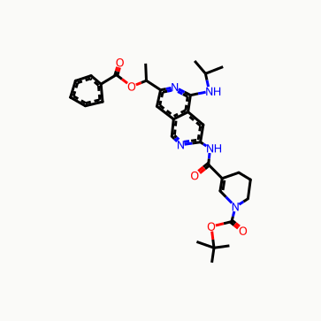 CC(C)Nc1nc(C(C)OC(=O)c2ccccc2)cc2cnc(NC(=O)C3=CN(C(=O)OC(C)(C)C)CCC3)cc12